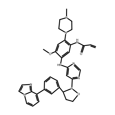 C=CC(=O)Nc1cc(Nc2cc(N3OCCC3c3cccc(-c4cccn5ccnc45)c3)ncn2)c(OC)cc1N1CCN(C)CC1